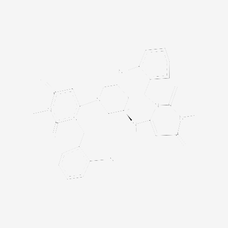 C=C1C=C(N[C@@H]2CCCN(c3cc(=O)n(C)c(=O)n3Cc3ccccc3C#N)C2)N(Cc2ccccc2C#N)C(=C)N1C